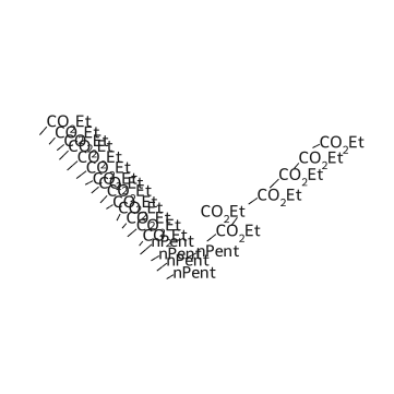 CCCCCC.CCCCCC.CCCCCC.CCCCCC.CCCCCC.CCOC(C)=O.CCOC(C)=O.CCOC(C)=O.CCOC(C)=O.CCOC(C)=O.CCOC(C)=O.CCOC(C)=O.CCOC(C)=O.CCOC(C)=O.CCOC(C)=O.CCOC(C)=O.CCOC(C)=O.CCOC(C)=O.CCOC(C)=O.CCOC(C)=O.CCOC(C)=O.CCOC(C)=O.CCOC(C)=O.CCOC(C)=O.CCOC(C)=O